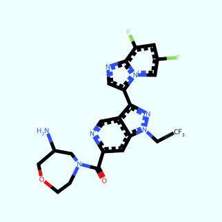 NC1COCCN(C(=O)c2cc3c(cn2)c(-c2cnc4c(F)cc(F)cn24)nn3CC(F)(F)F)C1